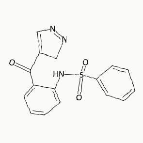 O=C(C1=CN=NC1)c1ccccc1NS(=O)(=O)c1ccccc1